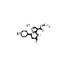 COC(=O)c1cnn2c(C3CCNCC3)cc(=O)[nH]c12.Cl